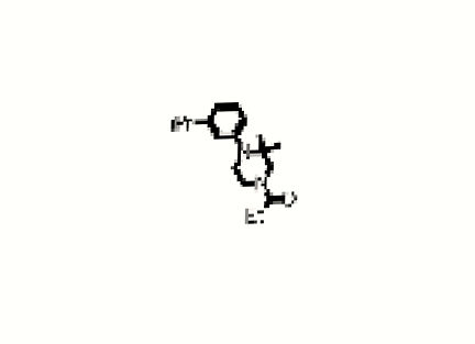 CCC(=O)N1CCN(c2cccc(C(C)C)c2)C(C)(C)C1